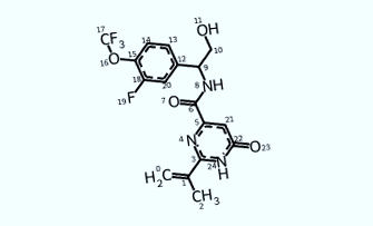 C=C(C)c1nc(C(=O)NC(CO)c2ccc(OC(F)(F)F)c(F)c2)cc(=O)[nH]1